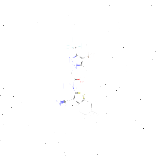 Cc1c(Br)c(C(F)(F)F)nn1CC(=O)Nc1sc2c(c1C#N)CCC(C)C2